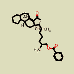 CC(CCC[C@@H](C)[C@H]1CC(=O)C2=C3CCC4CCCC[C@]4(C)[C@H]3CC[C@@]21C)COC(=O)c1ccccc1